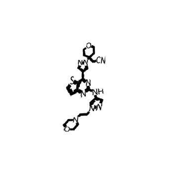 N#CCC1(n2cc(-c3nc(Nc4cnn(CCN5CCOCC5)c4)nc4ccsc34)cn2)CCOCC1